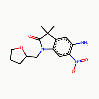 CC1(C)C(=O)N(CC2CCCO2)c2cc([N+](=O)[O-])c(N)cc21